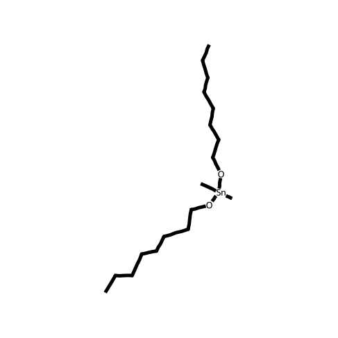 CCCCCCCC[O][Sn]([CH3])([CH3])[O]CCCCCCCC